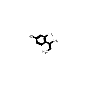 C/C=C(/C)c1ccc(O)cc1C